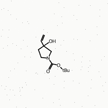 C=CC1(O)CCN(C(=O)OC(C)(C)C)C1